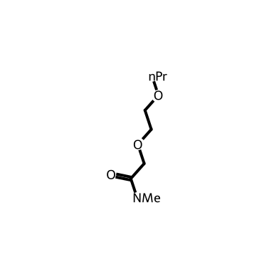 CCCOCCOCC(=O)NC